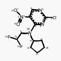 O=[N+]([O-])c1cnc(Cl)nc1N(CC(F)F)C1CCCC1